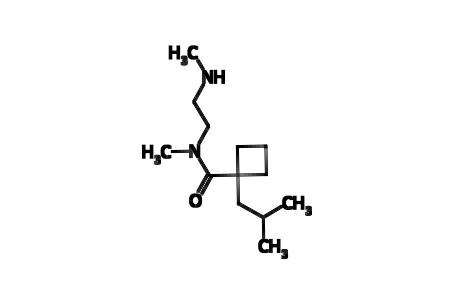 CNCCN(C)C(=O)C1(CC(C)C)CCC1